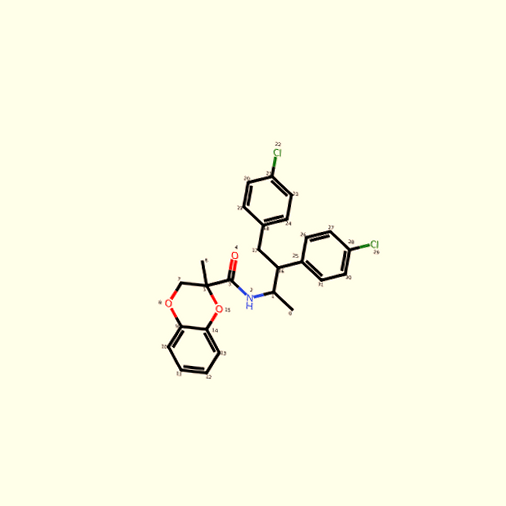 CC(NC(=O)C1(C)COc2ccccc2O1)C(Cc1ccc(Cl)cc1)c1ccc(Cl)cc1